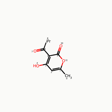 Cc1cc(O)c(C(=O)C(C)C)c(=O)o1